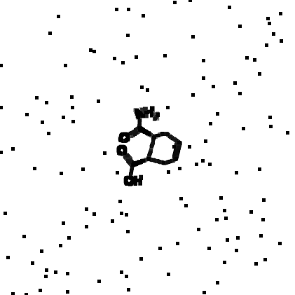 NC(=O)[C@H]1CC=CC[C@H]1C(=O)O